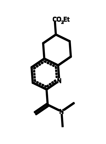 C=C(c1ccc2c(n1)CCC(C(=O)OCC)C2)N(C)C